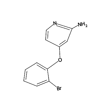 Nc1cc(Oc2ccccc2Br)ccn1